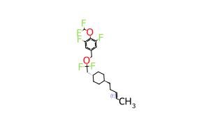 C/C=C/CC[C@H]1CC[C@H](CC(F)(F)OCc2cc(F)c(OC(F)F)c(F)c2)CC1